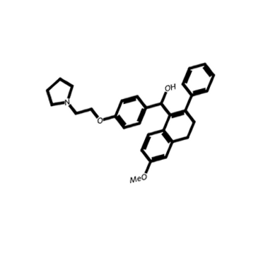 COc1ccc2c(c1)CCC(c1ccccc1)=C2C(O)c1ccc(OCCN2CCCC2)cc1